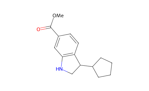 COC(=O)c1ccc2c(c1)NCC2C1CCCC1